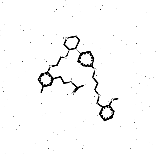 COc1ccccc1COCCCOc1ccc([C@H]2CCNC[C@@H]2OCCOc2ccc(C)cc2CCNC(C)=O)cc1